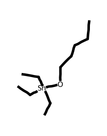 CCCCC[O][Sn]([CH2]C)([CH2]C)[CH2]C